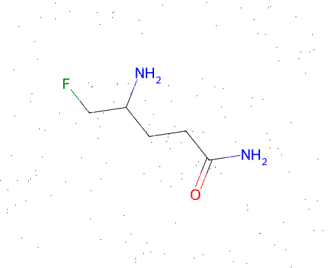 NC(=O)CCC(N)CF